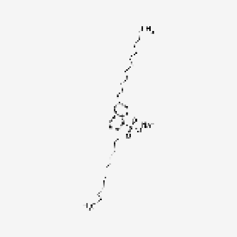 CCCCCCCCCCCCc1ccc2c(S(=O)(=O)[O-])c(CCCCCCCCCCCC)ccc2c1.[Na+]